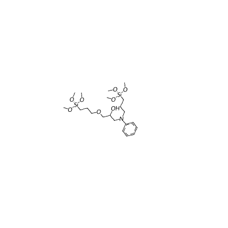 CO[Si](CCCOCC(O)CN(CCC[Si](OC)(OC)OC)c1ccccc1)(OC)OC